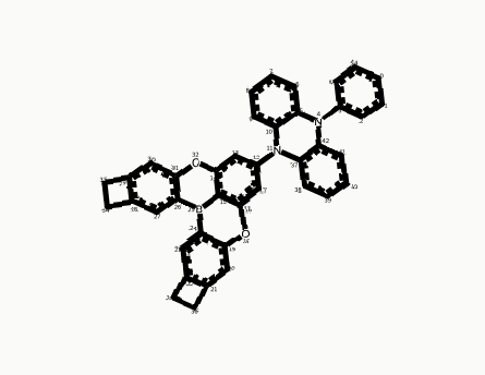 c1ccc(N2c3ccccc3N(c3cc4c5c(c3)Oc3cc6c(cc3B5c3cc5c(cc3O4)CC5)CC6)c3ccccc32)cc1